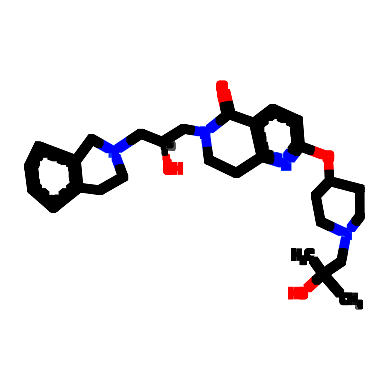 CC(C)(O)CN1CCC(Oc2ccc3c(n2)CCN(C[C@H](O)CN2CCc4ccccc4C2)C3=O)CC1